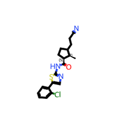 C[C@@H]1C(CCC#N)CC[C@@H]1C(=O)Nc1ncc(-c2ccccc2Cl)s1